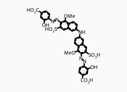 COc1c(N=Nc2ccc(C(=O)O)cc2O)c(S(=O)(=O)O)cc2cc(Nc3ccc4c(OC)c(N=Nc5ccc(C(=O)O)cc5O)c(S(=O)(=O)O)cc4c3)ccc12